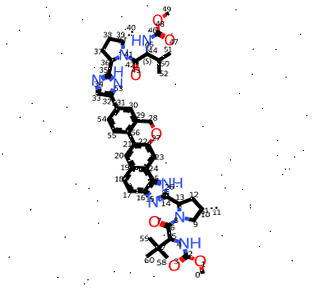 COC(=O)NC(C(=O)N1C[C@@H](C)CC1c1nc2ccc3cc4c(cc3c2[nH]1)OCc1cc(-c2cnc(C3CC[C@H](C)N3C(=O)[C@@H](NC(=O)OC)C(C)C)[nH]2)ccc1-4)C(C)(C)C